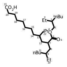 CCCCC(CC)COC(=O)C(CC(CC)CCCC)CC(CCCCCCCC(=O)O)C(C)C